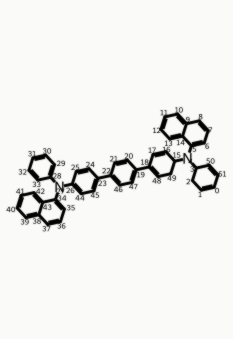 C1=CCC(N(c2cccc3ccccc23)C2C=CC(c3ccc(-c4ccc(N(c5ccccc5)c5cccc6ccccc56)cc4)cc3)=CC2)C=C1